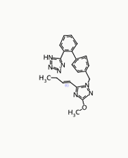 CC/C=C/c1nc(OC)nn1Cc1ccc(-c2ccccc2-c2nnn[nH]2)cc1